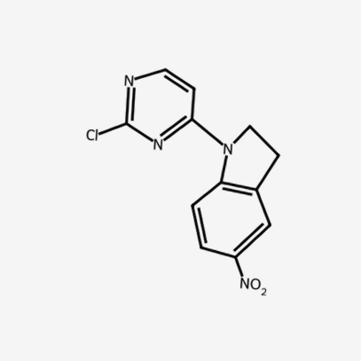 O=[N+]([O-])c1ccc2c(c1)CCN2c1ccnc(Cl)n1